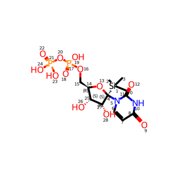 C[Si](C)(C)[C@@]1(n2ccc(=O)[nH]c2=O)O[C@H](COP(=O)(O)OP(=O)(O)O)[C@@H](O)[C@H]1O